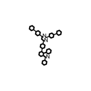 c1ccc(-c2ccc(-c3cc(-c4ccc(-c5cccc6c(-c7ccccc7)nc7ccccc7c56)cc4)nc(-c4ccc(-c5ccccc5)cc4)n3)cc2)cc1